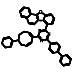 C1=CC(C2C/C=C\C(c3nc(-c4ccc(-c5ccccc5)cc4)nc(-c4cccc5oc6c7ccccc7ccc6c45)n3)=C/CC2)=CCC1